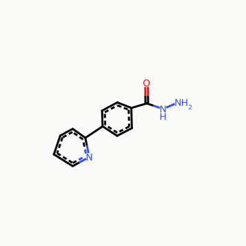 NNC(=O)c1ccc(-c2ccccn2)cc1